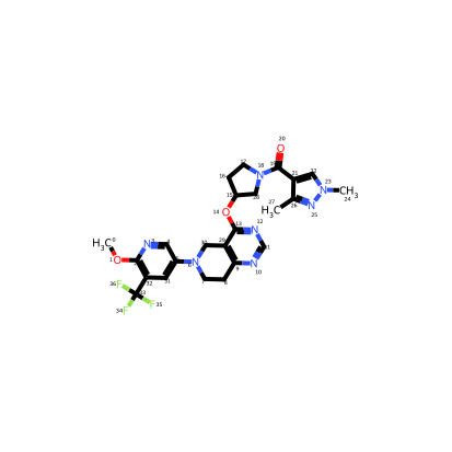 COc1ncc(N2CCc3ncnc(OC4CCN(C(=O)c5cn(C)nc5C)C4)c3C2)cc1C(F)(F)F